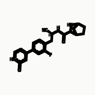 N#C[C@H](Cc1ccc(-c2cc[nH]c(=O)c2)cc1F)NC(=O)C1NC2CCC1C2